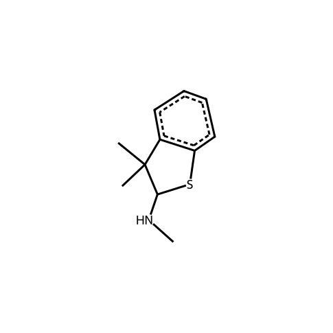 CNC1Sc2ccccc2C1(C)C